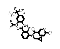 O=C(Nc1ccc(C(F)(C(F)(F)F)C(F)(F)F)cc1OC(F)F)c1cccc(N(CC2CC2)C(=O)c2ccc(Cl)nc2)c1F